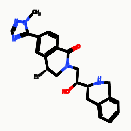 CC[C@H]1CN(C[C@H](O)[C@@H]2Cc3ccccc3CN2)C(=O)c2ccc(-c3ncnn3C)cc21